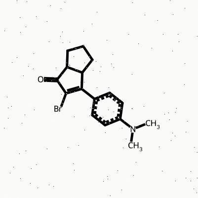 CN(C)c1ccc(C2=C(Br)C(=O)C3CCCC23)cc1